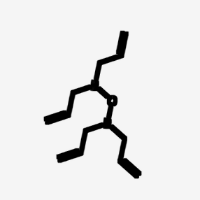 C=CCB(CC=C)OB(CC=C)CC=C